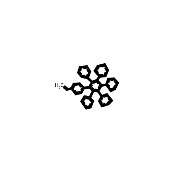 C=Cc1ccc(-c2c(-c3ccccc3)c(-c3ccccc3)c(-c3ccccc3)c(-c3ccccc3)c2-c2ccccc2)cc1